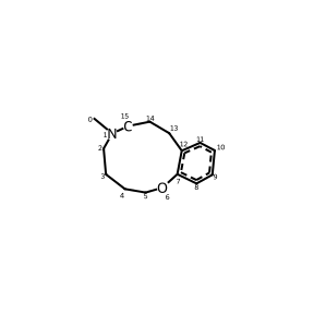 CN1CCCCOc2ccccc2CCC1